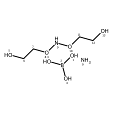 N.OB(O)O.OCCONOCCO